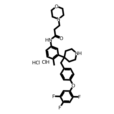 Cc1ccc(NC(=O)CCN2CCOCC2)cc1C1(Cc2ccc(Oc3cc(F)c(F)cc3F)cc2)CCNCC1.Cl.Cl